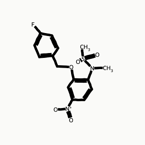 CN(c1ccc([N+](=O)[O-])cc1OCc1ccc(F)cc1)S(C)(=O)=O